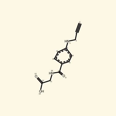 C#CCNc1ccc(C(=O)NCC(=O)O)cc1